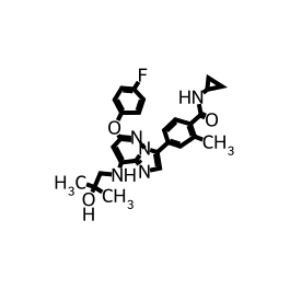 Cc1cc(-c2cnc3c(NCC(C)(C)O)cc(Oc4ccc(F)cc4)nn23)ccc1C(=O)NC1CC1